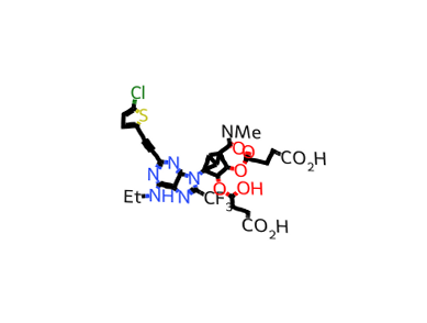 CCNc1nc(C#Cc2ccc(Cl)s2)nc2c1nc(C(F)(F)F)n2C12C(OC(O)CCC(=O)O)C(OC(=O)CCC(=O)O)C3(C(=O)NC)C1C32